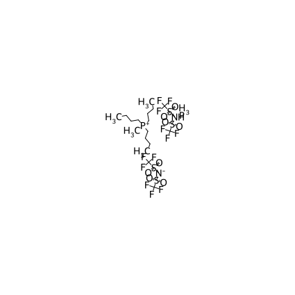 CCCC[P+](C)(CCCC)CCCC.O=S(=O)(NS(=O)(=O)C(F)(F)F)C(F)(F)F.O=S(=O)([N-]S(=O)(=O)C(F)(F)F)C(F)(F)F.P